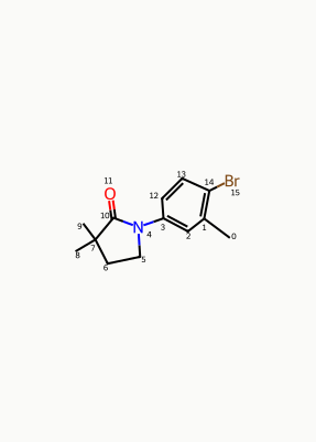 Cc1cc(N2CCC(C)(C)C2=O)ccc1Br